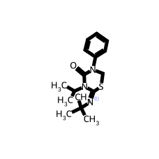 CC(C)N1C(=O)N(c2ccccc2)CS/C1=N/C(C)(C)C